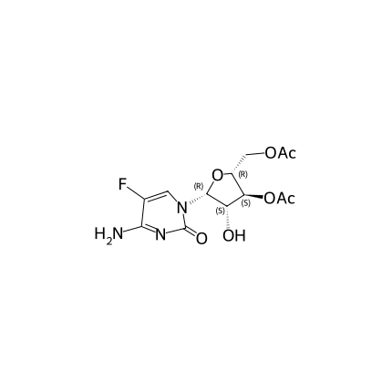 CC(=O)OC[C@H]1O[C@@H](n2cc(F)c(N)nc2=O)[C@@H](O)[C@@H]1OC(C)=O